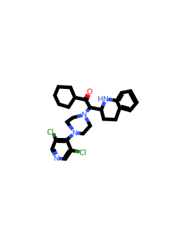 O=C(C1CCCCC1)C(C1CCc2ccccc2N1)N1CCN(c2c(Cl)cncc2Cl)CC1